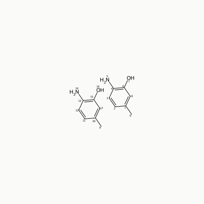 Cc1ccc(N)c(O)c1.Cc1ccc(N)c(O)c1